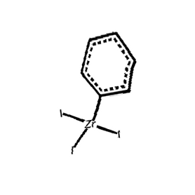 [I][Zr]([I])([I])[c]1ccccc1